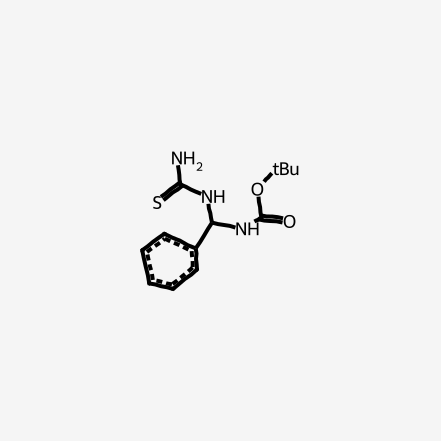 CC(C)(C)OC(=O)NC(NC(N)=S)c1ccccc1